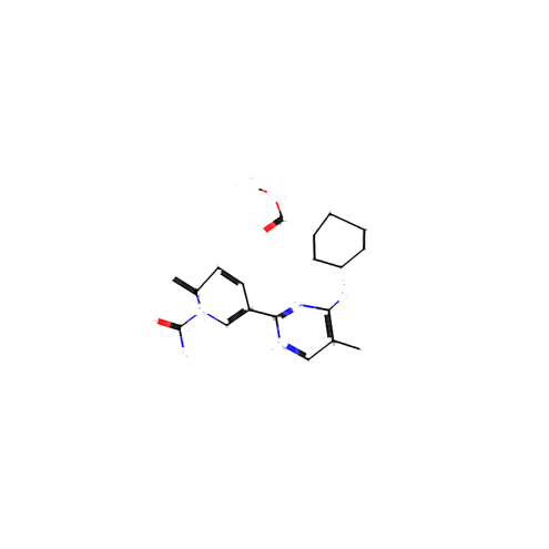 C=C1C=CC(c2ncc(C)c(N[C@H]3CCC[C@@H](C(=O)OC)C3)n2)=CN1C(N)=O